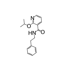 CC(C)Oc1ncccc1C(=O)NCCc1ccccc1